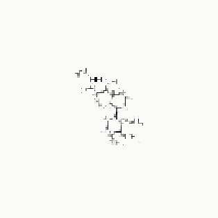 CCCNC(=O)c1nnc2c(-c3ccc(N)c(C)c3C)cccc2c1N